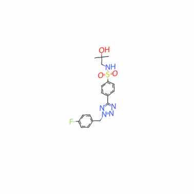 CC(C)(O)CNS(=O)(=O)c1ccc(-c2nnn(Cc3ccc(F)cc3)n2)cc1